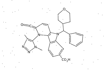 Cc1nnn(C)c1N1C(=C=O)C=Cc2c1c1ccc(C(=O)O)cc1n2C(c1ccccc1)C1CCOCC1